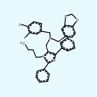 CCCCn1c(-c2ccccc2)nc(-c2ccccc2)c1CN(Cc1ccc(Cl)c(F)c1)Cc1ccc2c(c1)OCO2